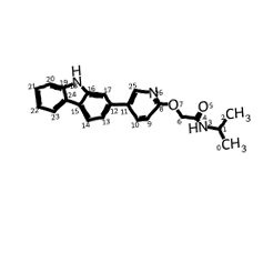 CC(C)NC(=O)COc1ccc(-c2ccc3c(c2)[nH]c2ccccc23)cn1